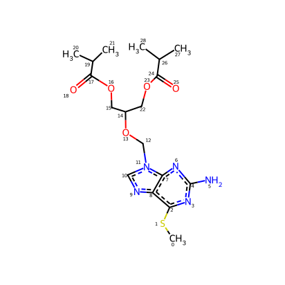 CSc1nc(N)nc2c1ncn2COC(COC(=O)C(C)C)COC(=O)C(C)C